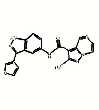 Cc1nn2ccncc2c1C(=O)Nc1ccc2[nH]nc(-c3ccoc3)c2c1